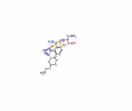 NCCC1CCN(c2ccc(S(=O)(=O)NC(CN)CO)c(S(N)(=O)=O)c2-c2nn[nH]n2)CC1